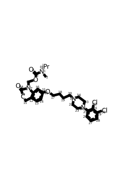 CC(C)N(C)C(=O)OCN1C(=O)CCc2ccc(OCCCCN3CCN(c4cccc(Cl)c4Cl)CC3)cc21